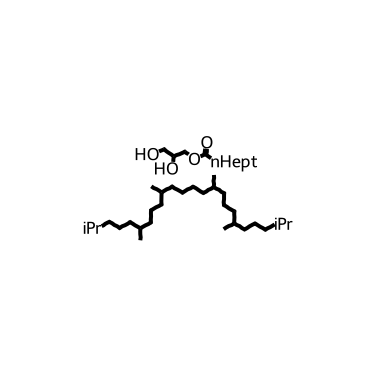 CC(C)CCCC(C)CCCC(C)CCCCC(C)CCCC(C)CCCC(C)C.CCCCCCCC(=O)OCC(O)CO